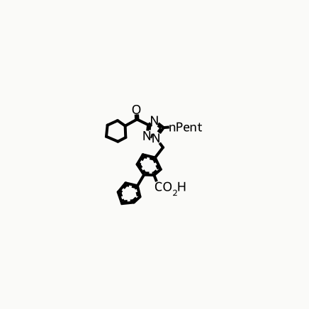 CCCCCc1nc(C(=O)C2CCCCC2)nn1Cc1ccc(-c2ccccc2)c(C(=O)O)c1